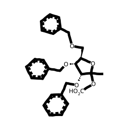 CC1(OC(=O)O)O[C@H](COCc2ccccc2)[C@@H](OCc2ccccc2)[C@H]1OCc1ccccc1